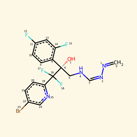 C=N/N=C\NC[C@](O)(c1ccc(F)cc1F)C(F)(F)c1ccc(Br)cn1